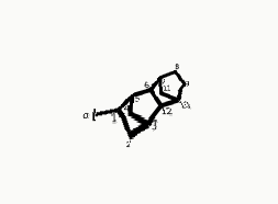 IC1CC2CC1C1C3CCC(C3)C21